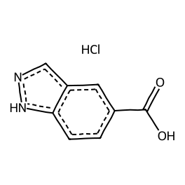 Cl.O=C(O)c1ccc2[nH]ncc2c1